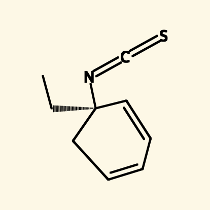 CC[C@]1(N=C=S)C=CC=CC1